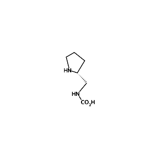 O=C(O)NC[C@H]1CCCN1